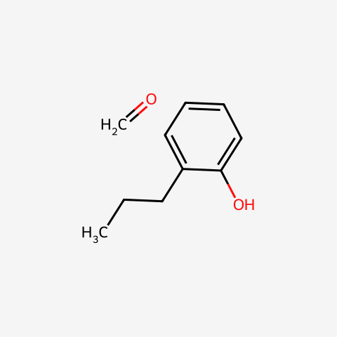 C=O.CCCc1ccccc1O